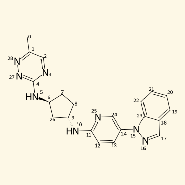 Cc1cnc(N[C@H]2CC[C@H](Nc3ccc(-n4ncc5ccccc54)cn3)C2)nn1